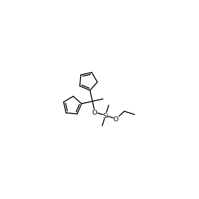 CCO[Si](C)(C)OC(C)(C1=CC=CC1)C1=CC=CC1